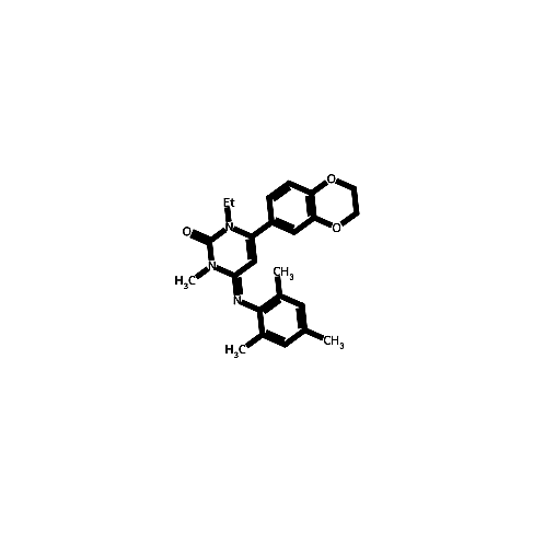 CCn1c(-c2ccc3c(c2)OCCO3)cc(=Nc2c(C)cc(C)cc2C)n(C)c1=O